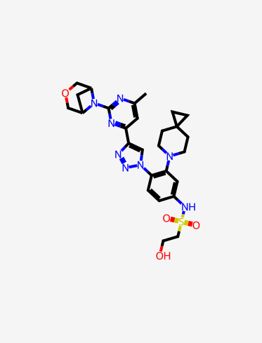 Cc1cc(-c2cn(-c3ccc(NS(=O)(=O)CCO)cc3N3CCC4(CC3)CC4)nn2)nc(N2C3COCC2C3)n1